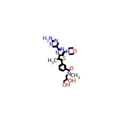 Cc1c(-c2cccc(C(=O)N(C)CC(O)CO)c2)sc2c(N3CCOCC3)nc(-c3cnc(N)nc3)nc12